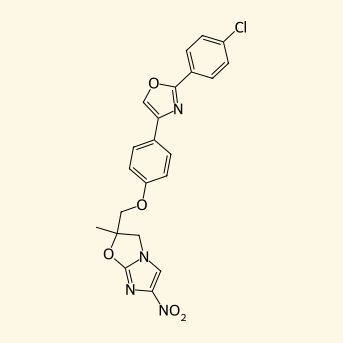 CC1(COc2ccc(-c3coc(-c4ccc(Cl)cc4)n3)cc2)Cn2cc([N+](=O)[O-])nc2O1